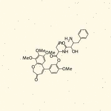 COc1ccc(C2=CC(=O)COc3c2cc(OC)c(OC)c3OC)cc1OC(=O)C(CC(C)C)NC(=O)C(O)C(N)Cc1ccccc1